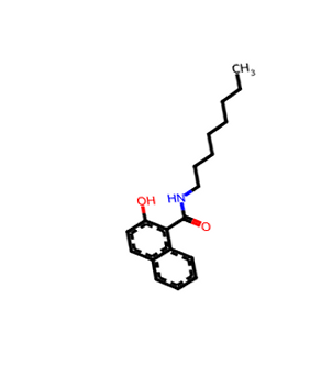 CCCCCCCCNC(=O)c1c(O)ccc2ccccc12